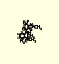 Cc1nc(C(F)(F)F)c(C(=O)Nc2ccccc2C(C)(C)C)s1